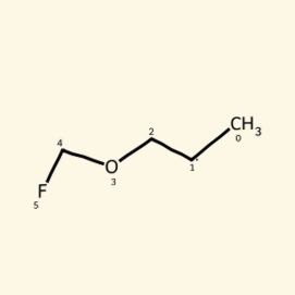 C[CH]COCF